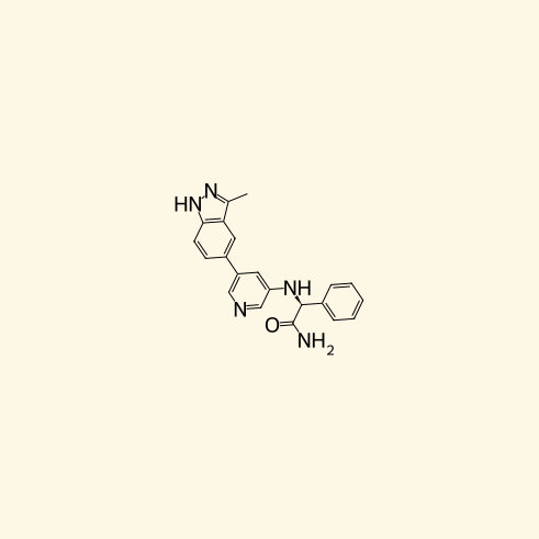 Cc1n[nH]c2ccc(-c3cncc(N[C@H](C(N)=O)c4ccccc4)c3)cc12